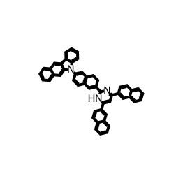 C1=C(c2ccc3ccccc3c2)NC(C2=Cc3ccc(-n4c5ccccc5c5cc6ccccc6cc54)cc3CC2)N=C1c1ccc2ccccc2c1